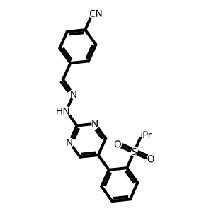 CC(C)S(=O)(=O)c1ccccc1-c1cnc(NN=Cc2ccc(C#N)cc2)nc1